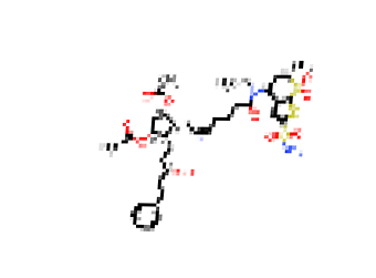 CCN(C(=O)CCC/C=C\C[C@@H]1[C@@H](CC[C@@H](O)CCc2ccccc2)[C@H](OC(C)=O)C[C@@H]1OC(C)=O)[C@H]1C[C@H](C)S(=O)(=O)c2sc(S(N)(=O)=O)cc21